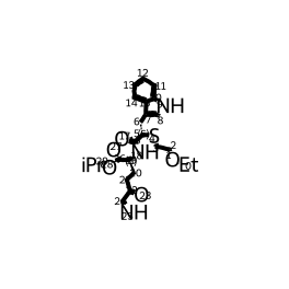 CCOCCS[C@@H](Cc1c[nH]c2ccccc12)C(=O)N[C@@H](CCC(=O)C=N)C(=O)OC(C)C